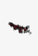 CC1(C)CCC(CN2CCN(c3ccc(C(=O)NS(=O)(=O)c4ccc(NCC5CCC(N=S6(=O)CCOCC6)CC5)c(S(=O)(=O)C(F)(F)F)c4)c(Oc4cnc5[nH]ccc5c4)c3)CC2)=C(c2ccc(Cl)cc2)C1